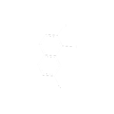 O=[N+]([O-])c1ccc2ccc(Cl)c(Cl)c2c1